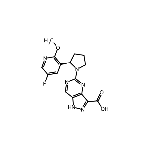 COc1ncc(F)cc1[C@H]1CCCN1c1ncc2[nH]nc(C(=O)O)c2n1